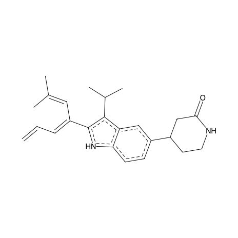 C=C/C=C(\C=C(C)C)c1[nH]c2ccc(C3CCNC(=O)C3)cc2c1C(C)C